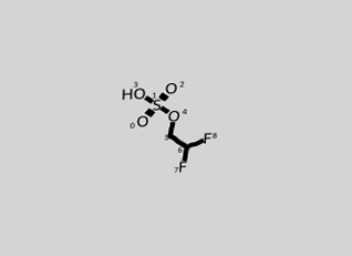 O=S(=O)(O)OCC(F)F